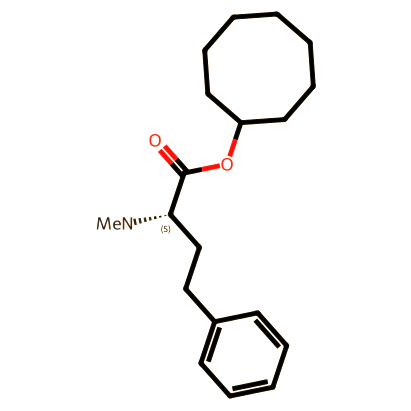 CN[C@@H](CCc1ccccc1)C(=O)OC1CCCCCCC1